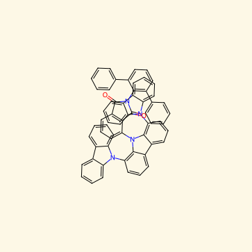 O=C1c2cccc(-n3c4c(-n5c6ccccc6c6ccccc65)cccc4c4cccc(-n5c6ccccc6c6ccccc65)c43)c2C(=O)N1c1c(-c2ccccc2)cccc1-c1ccccc1